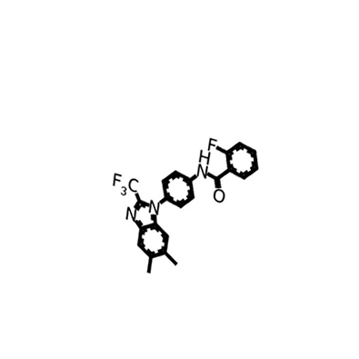 Cc1cc2nc(C(F)(F)F)n(-c3ccc(NC(=O)c4ccccc4F)cc3)c2cc1C